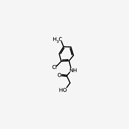 Cc1ccc(NC(=O)CO)c(Cl)c1